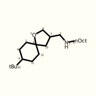 CCCCCCCCNCC1COC2(CCC(C(C)(C)C)CC2)C1